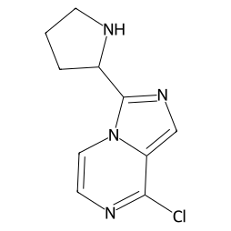 Clc1nccn2c(C3CCCN3)ncc12